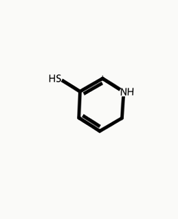 SC1=[C]NCC=C1